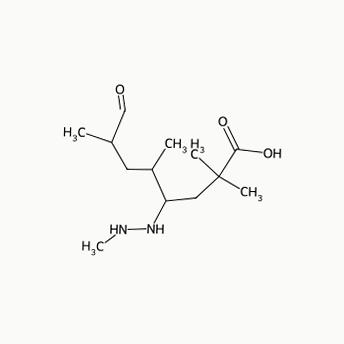 CNNC(CC(C)(C)C(=O)O)C(C)CC(C)C=O